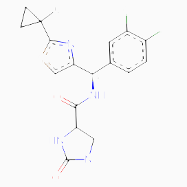 O=C1NCC(C(=O)N[C@H](c2ccc(F)c(Cl)c2)c2csc(C3(C(F)(F)F)CC3)n2)N1